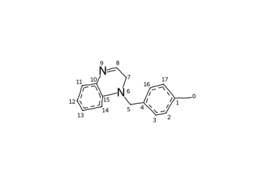 Cc1ccc(CN2CC=Nc3ccccc32)cc1